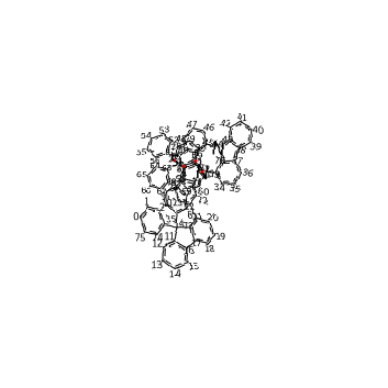 c1ccc(C2(c3ccccc3)c3ccccc3-c3cccc(-c4ccc5c6ccccc6n(-c6cccc7c8ccccc8n(-c8cccc([Si](c9ccccc9)(c9ccccc9)c9ccccc9)c8)c67)c5c4)c32)cc1